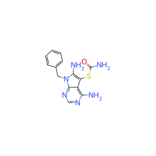 NC(=O)Sc1c(N)n(Cc2ccccc2)c2ncnc(N)c12